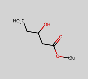 CC(C)(C)OC(=O)CC(O)CC(=O)O